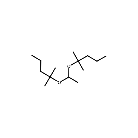 CCCC(C)(C)O[C](C)OC(C)(C)CCC